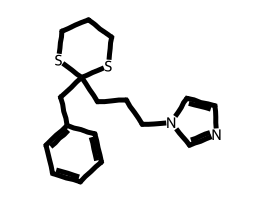 c1ccc(CC2(CCCn3ccnc3)SCCCS2)cc1